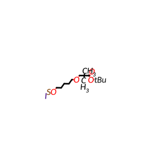 CC(C)(C)OC(=O)C(C)(C)COCCCCCOSI